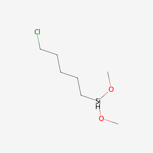 CO[SiH](CCCCCCl)OC